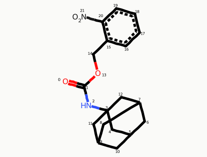 O=C(NC12CC3CC(CC(C3)C1)C2)OCc1ccccc1[N+](=O)[O-]